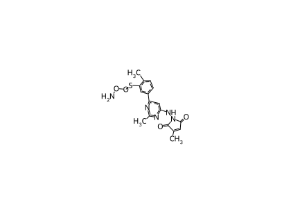 CC1=CC(=O)N(Nc2cc(-c3ccc(C)c(SOON)c3)nc(C)n2)C1=O